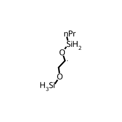 CCC[SiH2]O[CH]CO[SiH3]